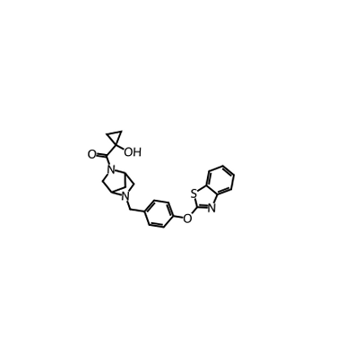 O=C(N1CC2CC1CN2Cc1ccc(Oc2nc3ccccc3s2)cc1)C1(O)CC1